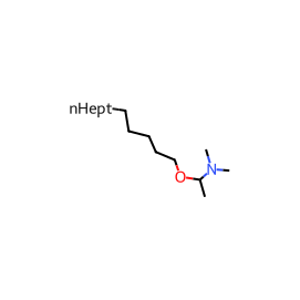 CCCCCCCCCCCCOC(C)N(C)C